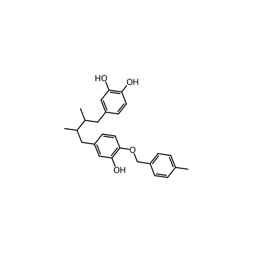 Cc1ccc(COc2ccc(CC(C)C(C)Cc3ccc(O)c(O)c3)cc2O)cc1